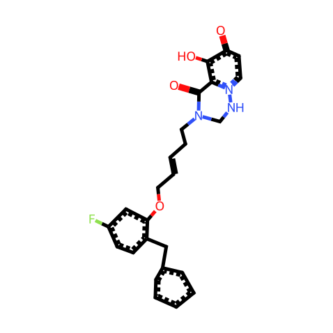 O=C1c2c(O)c(=O)ccn2NCN1CC/C=C/COc1cc(F)ccc1Cc1ccccc1